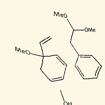 C=CC1(OC)C=CC=CC1.CO.COC(Cc1ccccc1)OC